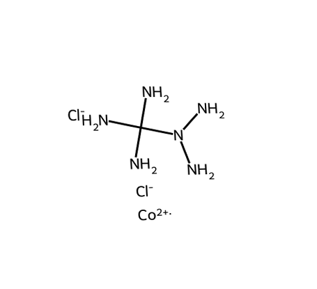 NN(N)C(N)(N)N.[Cl-].[Cl-].[Co+2]